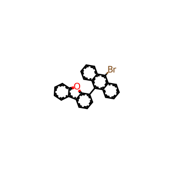 Brc1c2ccccc2c(-c2cccc3c2oc2ccccc23)c2ccccc12